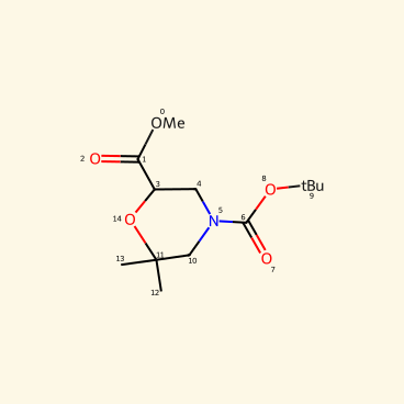 COC(=O)C1CN(C(=O)OC(C)(C)C)CC(C)(C)O1